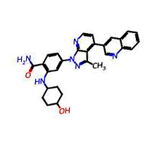 Cc1nn(-c2ccc(C(N)=O)c(NC3CCC(O)CC3)c2)c2nccc(-c3cnc4ccccc4c3)c12